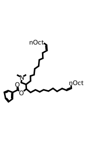 CCCCCCCC/C=C\CCCCCCCCC(CN(C)C)C(CCCCCCCC/C=C\CCCCCCCC)OC(=O)c1ccccc1